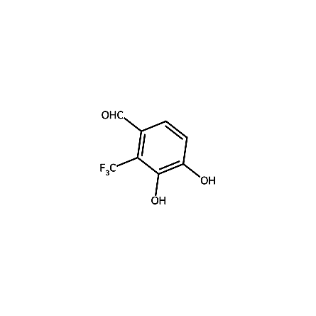 O=Cc1ccc(O)c(O)c1C(F)(F)F